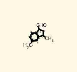 Cc1ccc2c(c1)C(C)CC2C=O